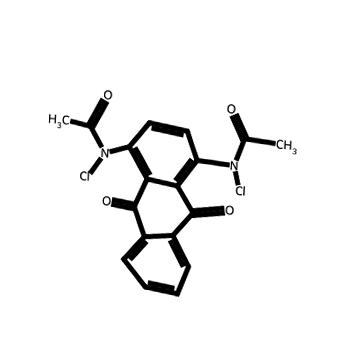 CC(=O)N(Cl)c1ccc(N(Cl)C(C)=O)c2c1C(=O)c1ccccc1C2=O